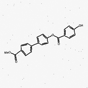 COC(=O)c1ccc(-c2ccc(OC(=O)c3ccc(O)cc3)cc2)cc1